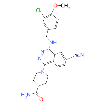 COc1ccc(CNc2nnc(N3CCC(C(N)=O)CC3)c3ccc(C#N)cc23)cc1Cl